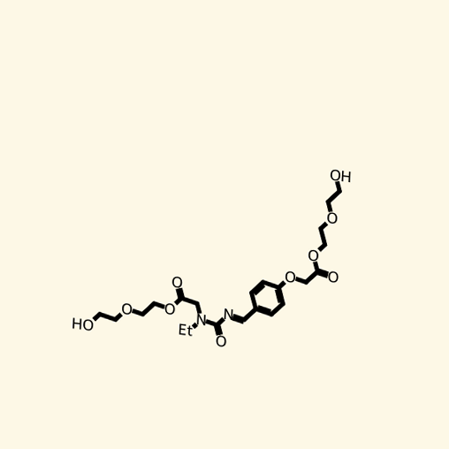 CCN(CC(=O)OCCOCCO)C(=O)N=Cc1ccc(OCC(=O)OCCOCCO)cc1